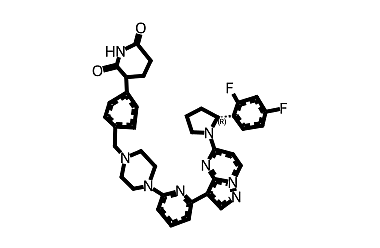 O=C1CCC(c2ccc(CN3CCN(c4cccc(-c5cnn6ccc(N7CCC[C@@H]7c7ccc(F)cc7F)nc56)n4)CC3)cc2)C(=O)N1